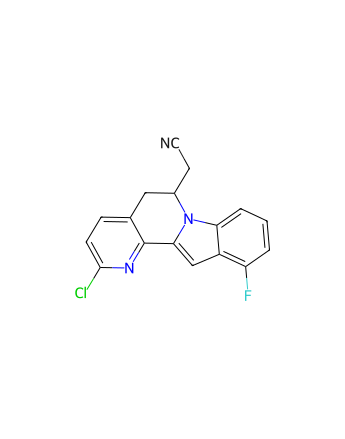 N#CCC1Cc2ccc(Cl)nc2-c2cc3c(F)cccc3n21